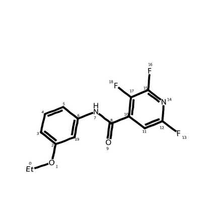 CCOc1cccc(NC(=O)c2cc(F)nc(F)c2F)c1